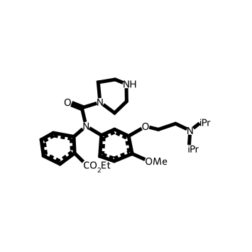 CCOC(=O)c1ccccc1N(C(=O)N1CCNCC1)c1ccc(OC)c(OCCN(C(C)C)C(C)C)c1